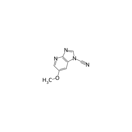 COc1cnc2ncn(C#N)c2c1